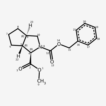 COC(=O)[C@H]1[C@@H]2CCC[C@H]2CN1C(=O)OCc1ccccc1